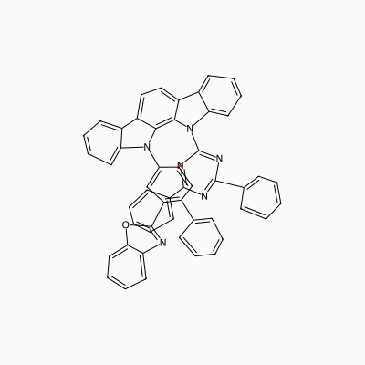 c1ccc(-c2nc(-c3ccccc3)nc(-n3c4ccccc4c4ccc5c6ccccc6n(-c6ccc(-c7ccccc7)c(-c7nc8ccccc8o7)c6)c5c43)n2)cc1